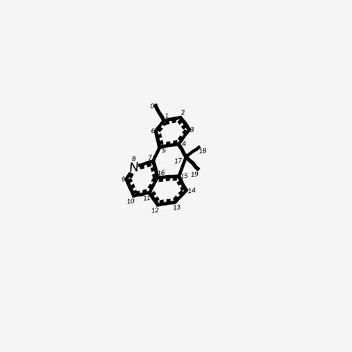 Cc1ccc2c(c1)-c1nccc3cccc(c13)C2(C)C